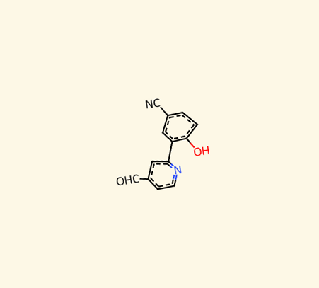 N#Cc1ccc(O)c(-c2cc(C=O)ccn2)c1